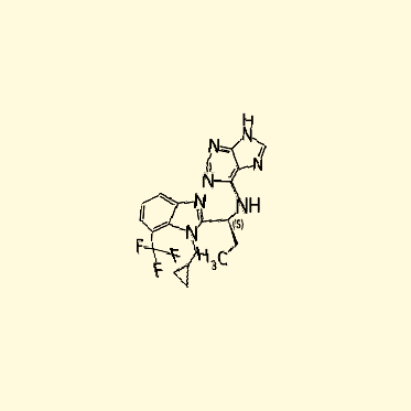 CC[C@H](Nc1ncnc2[nH]cnc12)c1nc2cccc(C(F)(F)F)c2n1CC1CC1